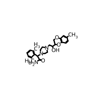 Cc1ccc2c(c1)OCC(C(O)CN1CCN(C(C(N)=O)c3c(C)cccc3C)CC1)O2